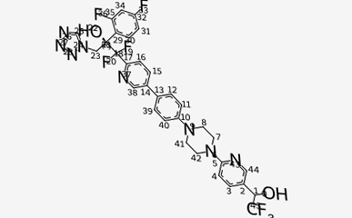 OC(c1ccc(N2CCN(c3ccc(-c4ccc(C(F)(F)[C@](O)(Cn5cnnn5)c5ccc(F)cc5F)nc4)cc3)CC2)nc1)C(F)(F)F